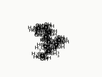 CC1C(O)[C@H](O[C@@H]2OC(CO[C@H]3OC(CO)[C@@H](O)C(O)[C@H]3O[C@@H]3O[C@@H](CO)[C@@H](O)C(O)C3C)[C@@H](O)C(O[C@H]3O[C@H](CO)[C@@H](O)C(O)C3O[C@@H]3OC(CO)[C@@H](O[C@@H]4OC(CO[C@]5(C(=O)O)C[C@@H](O)[C@@H](N)C([C@H](O)[C@H](O)CO)O5)[C@H](O)C(O)[C@@H]4O)C(O)[C@@H]3C)[C@H]2O)C(CO)O[C@H]1O[C@@H]1C(CO[C@@H]2O[C@@H](C)[C@@H](O)C(O)C2O)O[C@@H](C)[C@@H](C)C1O